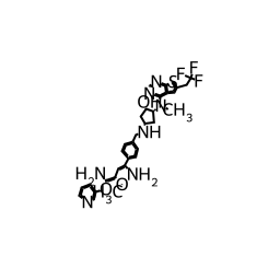 COC(/C=C(\N)c1ccc(CN[C@H]2C[C@@H](O)[C@@H](N(C)c3ncnc4sc(CC(F)(F)F)cc34)C2)cc1)=C(/N)Oc1cccnc1